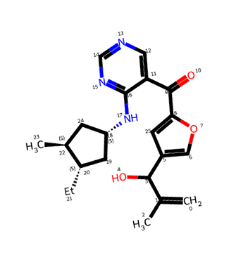 C=C(C)C(O)c1coc(C(=O)c2cncnc2N[C@@H]2C[C@H](CC)[C@@H](C)C2)c1